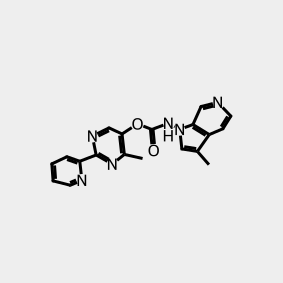 Cc1nc(-c2ccccn2)ncc1OC(=O)Nn1cc(C)c2ccncc21